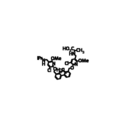 COc1nc(OCc2cccc(-c3cccc(COc4nc(OC)c(CNC(C)C(=O)O)cc4Cl)c3C)c2C)c(Cl)cc1CNC(C)C